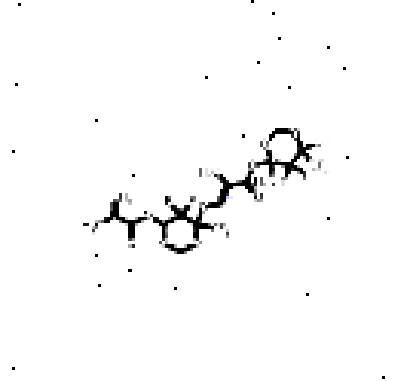 C=C(C)C(=O)OC1OCOC(O/C=C(\C)C(=O)OC2(C)OCOC(O)(C(F)(F)F)C2(F)F)(C(F)(F)F)C1(F)F